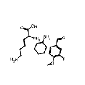 COc1ccc(C=O)cc1F.NC1CCCCC1.NCCCCC(N)C(=O)O